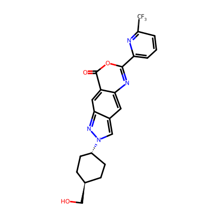 O=c1oc(-c2cccc(C(F)(F)F)n2)nc2cc3cn([C@H]4CC[C@H](CO)CC4)nc3cc12